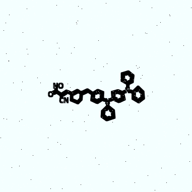 N#C/C(=C\C1=CC(=C/c2ccc(N(c3ccccc3)c3ccc(N(c4ccccc4)c4ccccc4)cc3)cc2)/CCC1)C(=O)N=O